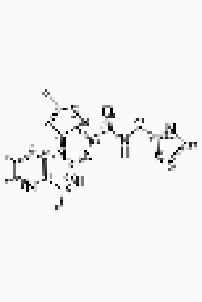 Cc1cc2nc(NC(C)c3ccccn3)nc(C(=O)NCc3nccs3)c2s1